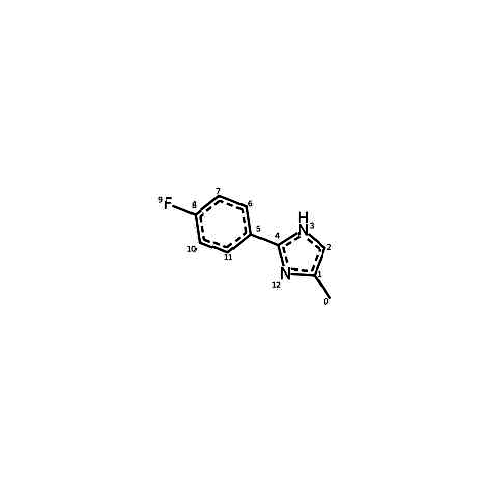 Cc1c[nH]c(-c2ccc(F)cc2)n1